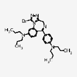 CCCN(CCC)c1ccc(C2=NCc3nnc(Br)n3-c3cc(N(CCC)CCC)ccc32)cc1